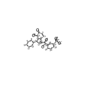 O=C1C=Cc2c(c(-c3ccccc3)cn2S(=O)(=O)c2cccc([N+](=O)[O-])c2)C1=O